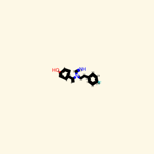 C=C(c1ccc(O)cc1)N(C=N)CCc1ccc(F)cc1